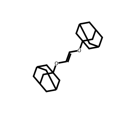 C(=COC12CC3CC(CC(C3)C1)C2)OC12CC3CC(CC(C3)C1)C2